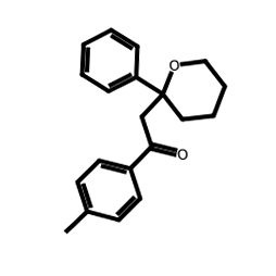 Cc1ccc(C(=O)CC2(c3ccccc3)CCCCO2)cc1